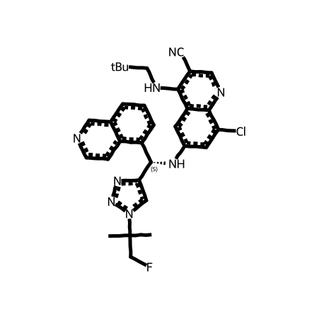 CC(C)(C)CNc1c(C#N)cnc2c(Cl)cc(N[C@H](c3cn(C(C)(C)CF)nn3)c3cccc4cnccc34)cc12